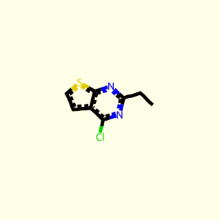 CCc1nc(Cl)c2ccsc2n1